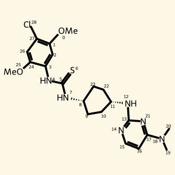 COc1cc(NC(=S)N[C@H]2CC[C@@H](Nc3nccc(N(C)C)n3)CC2)c(OC)cc1Cl